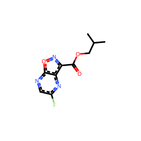 CC(C)COC(=O)c1noc2ncc(F)nc12